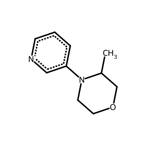 CC1COCCN1c1cccnc1